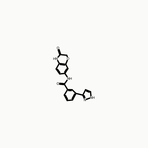 O=C1COc2cc(NC(=O)c3cccc(-c4cc[nH]n4)c3)ccc2N1